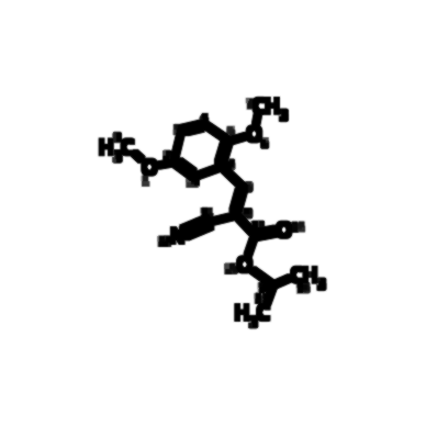 COc1ccc(OC)c(/C=C(\C#N)C(=O)OC(C)C)c1